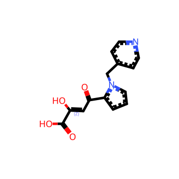 O=C(O)/C(O)=C/C(=O)c1cccn1Cc1ccncc1